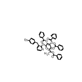 CCc1ccc(Cc2cccnc2O[C@@H]2O[C@H]([C@@H](C)OC(=O)c3ccccc3)[C@@H](OC(=O)c3ccccc3)[C@H](OC(=O)c3ccccc3)[C@H]2OC(=O)c2ccccc2)cc1